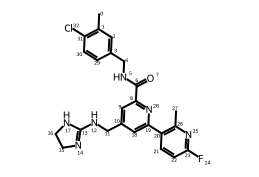 Cc1cc(CNC(=O)c2cc(CNC3=NCCN3)cc(-c3ccc(F)nc3C)n2)ccc1Cl